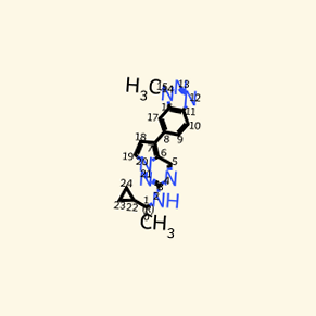 C[C@@H](Nc1ncc2c(-c3ccc4nnn(C)c4c3)ccn2n1)C1CC1